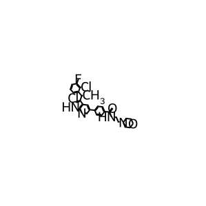 CC(c1c(Cl)ccc(F)c1Cl)c1c[nH]c2ncc(-c3ccc(C(=O)NCCN4CCOCC4)cc3)cc12